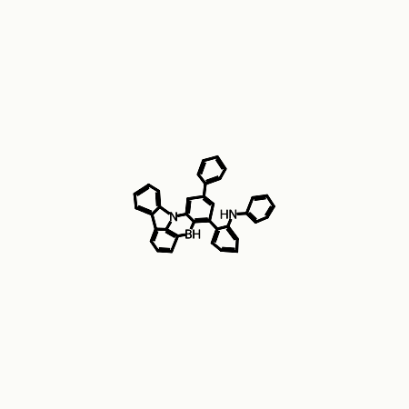 B1c2c(-c3ccccc3Nc3ccccc3)cc(-c3ccccc3)cc2-n2c3ccccc3c3cccc1c32